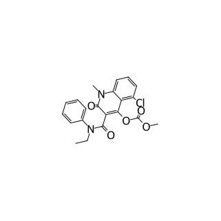 CCN(C(=O)c1c(OC(=O)OC)c2c(Cl)cccc2n(C)c1=O)c1ccccc1